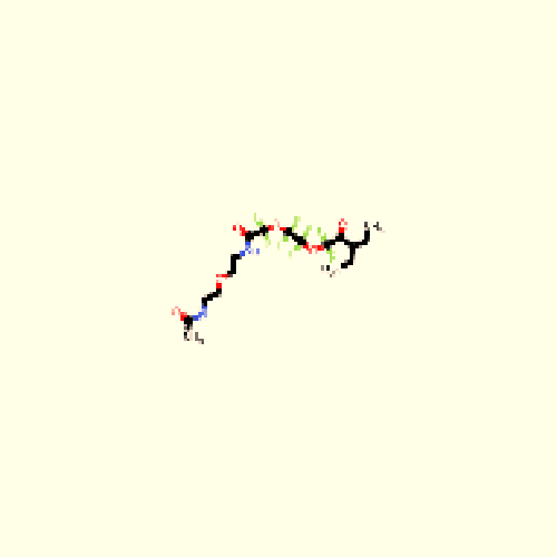 CCC(CC)C(=O)C(F)(F)OC(F)(F)C(F)(F)OC(F)(F)C(=O)NCCOCCNC(C)=O